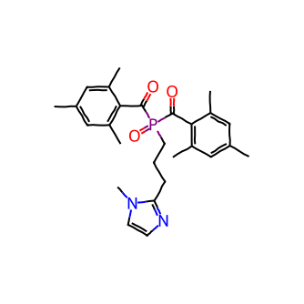 Cc1cc(C)c(C(=O)P(=O)(CCCc2nccn2C)C(=O)c2c(C)cc(C)cc2C)c(C)c1